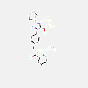 COC1CC=C(F)C=C1C(=O)NCc1ccc(-c2nn(C3CCCC3(F)F)c(N)c2C(N)=O)cc1